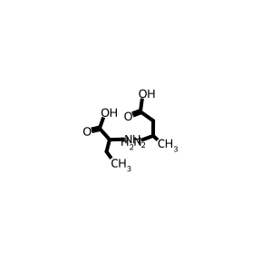 CC(N)CC(=O)O.CCC(N)C(=O)O